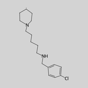 Clc1ccc(CNCCCCCN2CC[CH]CC2)cc1